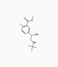 COC(=O)c1cc(C(O)CNC(C)(C)C)ccc1C